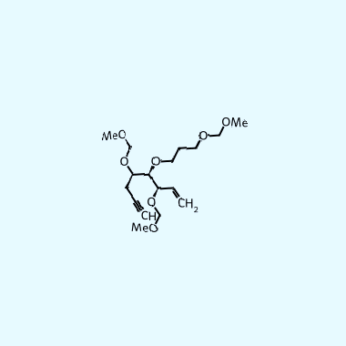 C#CC[C@@H](OCOC)[C@@H](OCCCOCOC)[C@@H](C=C)OCOC